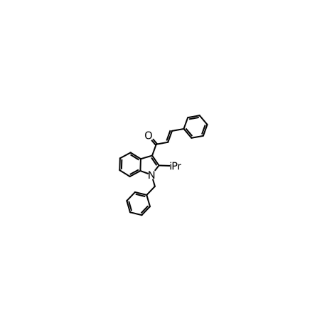 CC(C)c1c(C(=O)C=Cc2ccccc2)c2ccccc2n1Cc1ccccc1